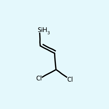 [SiH3]C=CC(Cl)Cl